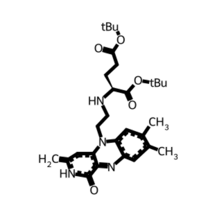 C=c1cc2c(c(=O)[nH]1)=Nc1cc(C)c(C)cc1N2CCN[C@@H](CCC(=O)OC(C)(C)C)C(=O)OC(C)(C)C